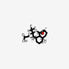 C[C@@H]1CC[C@H]2[C@@H](C)C(OCC(=O)O)(C(F)(F)F)O[C@@H]3O[C@]4(C)CC[C@@H]1[C@]32OO4